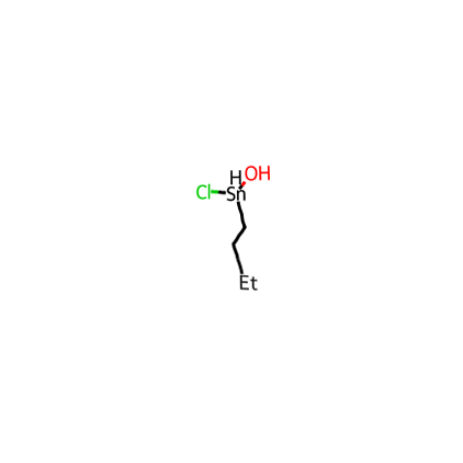 CCC[CH2][SnH]([OH])[Cl]